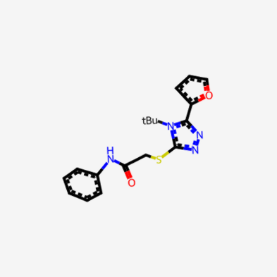 CC(C)(C)n1c(SCC(=O)Nc2ccccc2)nnc1-c1ccco1